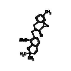 COc1c(CN(Cc2ccc(C)cc2)C(=O)C2CC2)ccc2c1OC(C)(C)C=C2